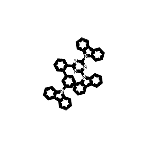 c1cc(-c2ccccc2-c2nc(-n3c4ccccc4c4ccccc43)nc(-n3c4ccccc4c4ccccc43)n2)cc(-n2c3ccccc3c3ccccc32)c1